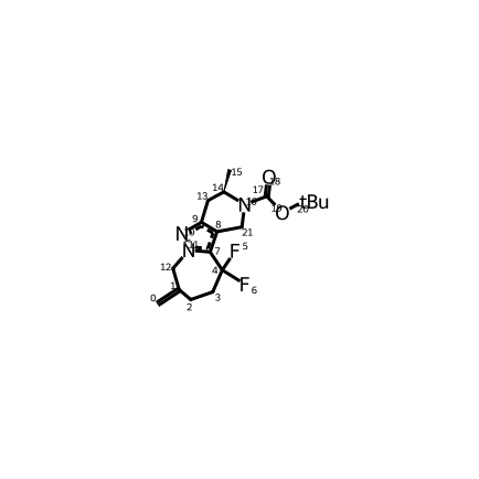 C=C1CCC(F)(F)c2c3c(nn2C1)C[C@@H](C)N(C(=O)OC(C)(C)C)C3